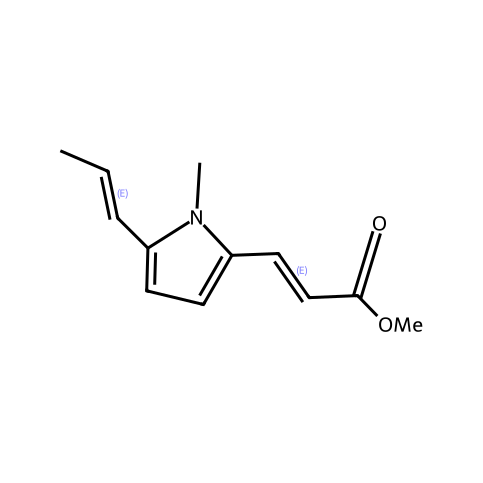 C/C=C/c1ccc(/C=C/C(=O)OC)n1C